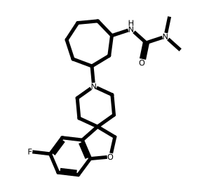 CN(C)C(=O)NC1CCCCC(N2CCC3(CC2)COc2ccc(F)cc23)C1